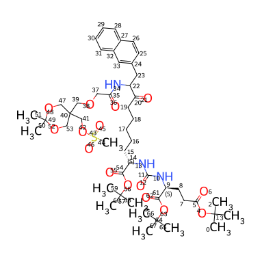 CC(C)(C)OC(=O)CC[C@H](NC(=O)N[C@@H](CCCCCC(=O)C(Cc1ccc2ccccc2c1)NC(=O)COCC1(COS(C)(=O)=O)COC(C)(C)OC1)C(=O)OC(C)(C)C)C(=O)OC(C)(C)C